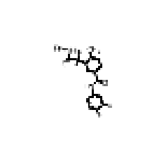 Cc1ccc(C(=O)Nc2ccc(F)c(F)c2)cc1C(F)(F)C(=O)NC(C)C